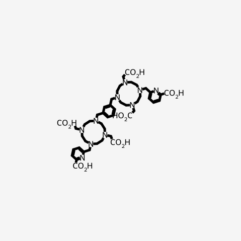 O=C(O)CN1CCN(Cc2cccc(CN3CCN(CC(=O)O)CCN(Cc4cccc(C(=O)O)n4)CCN(CC(=O)O)CC3)c2)CCN(CC(=O)O)CCN(Cc2cccc(C(=O)O)n2)CC1